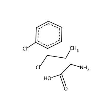 CCCCl.Clc1ccccc1.NCC(=O)O